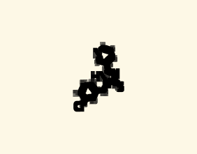 S=c1nc(-c2cccnc2)[nH]n1Cc1cccc(Cl)c1